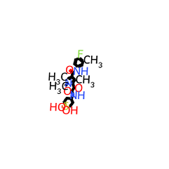 Cc1cc(NC(=O)c2c(C)c(C(=O)C(=O)NC3CCS(O)(O)CC3)n(C)c2C)ccc1F